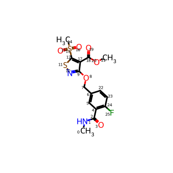 CNC(=O)c1cc(COc2nsc(S(C)(=O)=O)c2C(=O)OC)ccc1F